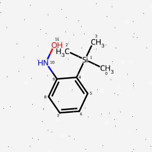 C[Si](C)(C)c1ccccc1NO